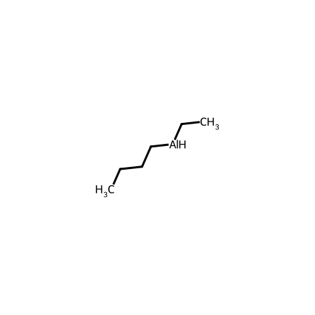 CCC[CH2][AlH][CH2]C